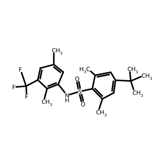 Cc1cc(NS(=O)(=O)c2c(C)cc(C(C)(C)C)cc2C)c(C)c(C(F)(F)F)c1